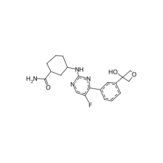 NC(=O)C1CCCC(Nc2ncc(F)c(-c3cccc(C4(O)COC4)c3)n2)C1